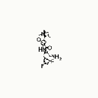 Cc1cnn2c1-c1cc(C(=O)N[C@H](CCN)Cc3cc(F)cc(F)c3)sc1OCC2